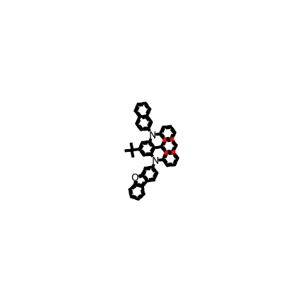 CC(C)(C)c1cc(N(c2ccccc2)c2ccc3ccccc3c2)c(-c2ccccc2)c(N(c2ccccc2)c2ccc3c(c2)oc2ccccc23)c1